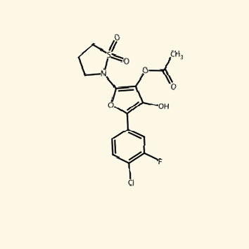 CC(=O)Oc1c(N2CCCS2(=O)=O)oc(-c2ccc(Cl)c(F)c2)c1O